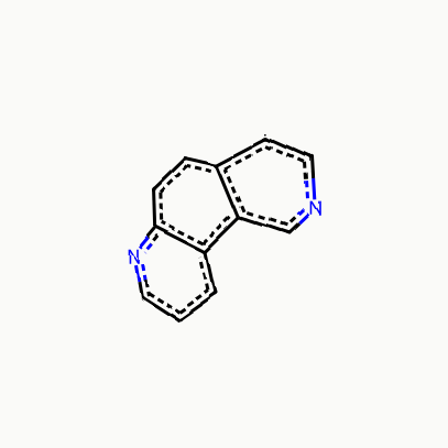 [c]1cncc2c1ccc1ncccc12